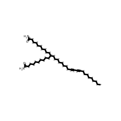 CCCCCCCCCC#CC#CCCCCCCCCC(CCCCCCCCCC(N)=O)CCCCCCCCCC(N)=O